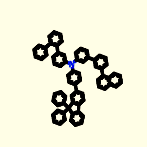 c1ccc(-c2ccccc2-c2cccc(N(c3ccc(-c4ccc5c(c4)C(c4ccccc4)(c4ccccc4)c4ccccc4-5)cc3)c3cccc(-c4cccc(-c5cccc6ccccc56)c4)c3)c2)cc1